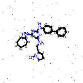 CCN1CCCC1CNc1nc(Nc2ccc(-c3ccccc3)cc2)nc(NC2CCCCCC2)n1